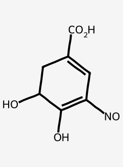 O=NC1=C(O)C(O)CC(C(=O)O)=C1